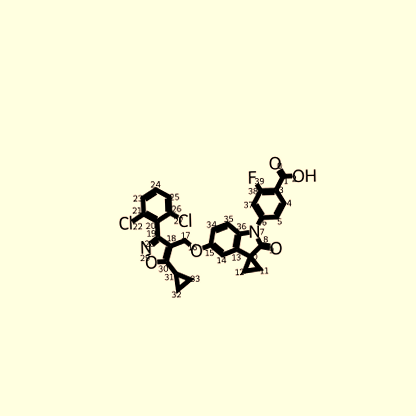 O=C(O)c1ccc(N2C(=O)C3(CC3)c3cc(OCc4c(-c5c(Cl)cccc5Cl)noc4C4CC4)ccc32)cc1F